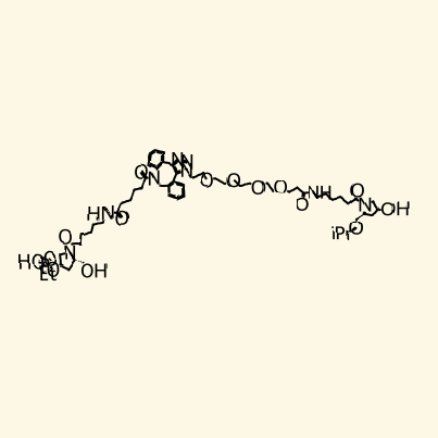 CCP(=O)(O)O[C@@H]1C[C@@H](CO)N(C(=O)CCCCCNC(=O)CCCCC(=O)N2Cc3ccccc3-c3c(nnn3CCOCCOCCOCCOCCC(=O)NCCCCCC(=O)N3CC(O)C[C@H]3COC(C)C)-c3ccccc32)C1